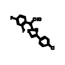 O=CN(c1nc(-c2ccc(Cl)cc2)cs1)c1ccc(F)cc1F